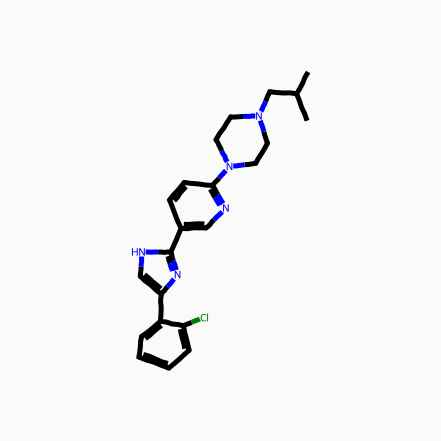 CC(C)CN1CCN(c2ccc(-c3nc(-c4ccccc4Cl)c[nH]3)cn2)CC1